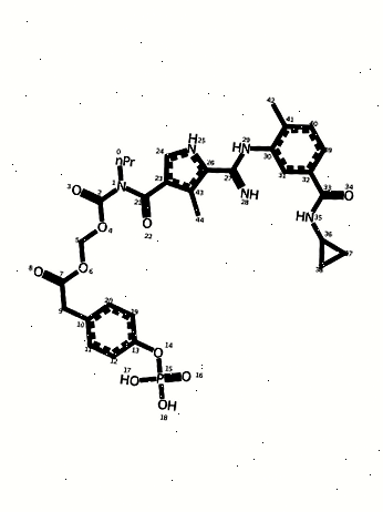 CCCN(C(=O)OCOC(=O)Cc1ccc(OP(=O)(O)O)cc1)C(=O)c1c[nH]c(C(=N)Nc2cc(C(=O)NC3CC3)ccc2C)c1C